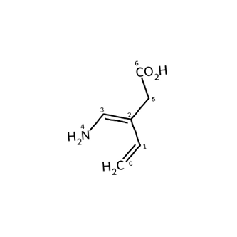 C=CC(=CN)CC(=O)O